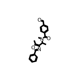 Cc1oc(-c2ccccc2)nc1C(C)N(C)C(=O)c1ccc(C=O)cc1